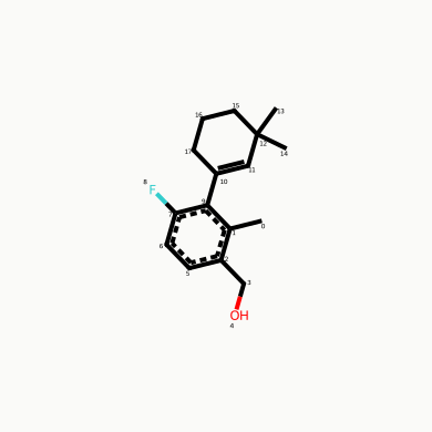 Cc1c(CO)ccc(F)c1C1=CC(C)(C)CCC1